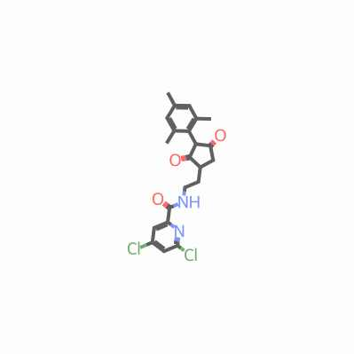 Cc1cc(C)c(C2C(=O)CC(CCNC(=O)c3cc(Cl)cc(Cl)n3)C2=O)c(C)c1